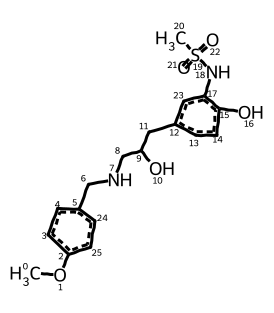 COc1ccc(CNCC(O)Cc2ccc(O)c(NS(C)(=O)=O)c2)cc1